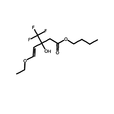 CCCCOC(=O)CC(O)(/C=C/OCC)C(F)(F)F